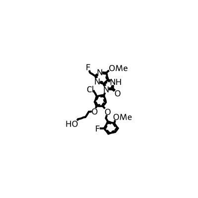 COc1cccc(F)c1COc1cc(-n2c(=O)[nH]c3c(OC)nc(CF)nc32)c(Cl)cc1OCCCO